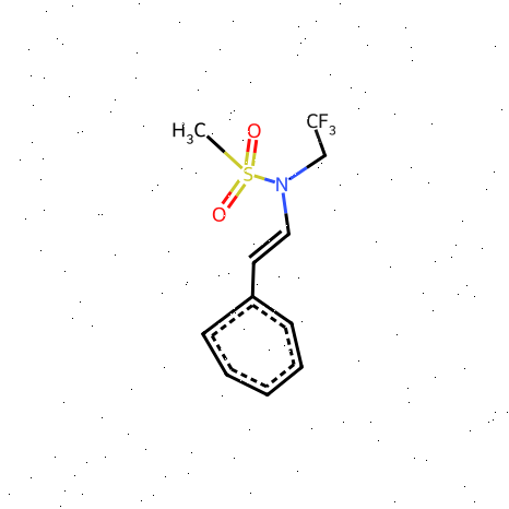 CS(=O)(=O)N(C=Cc1ccccc1)CC(F)(F)F